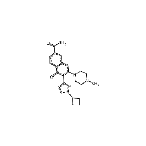 CN1CCN(c2nc3cc(C(N)=O)ccn3c(=O)c2-c2nc(C3CCC3)cs2)CC1